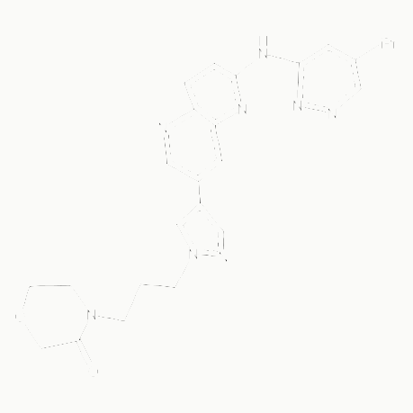 CC(C)c1cnnc(Nc2ccc3ncc(-c4cnn(CCCN5CCOCC5=O)c4)cc3n2)c1